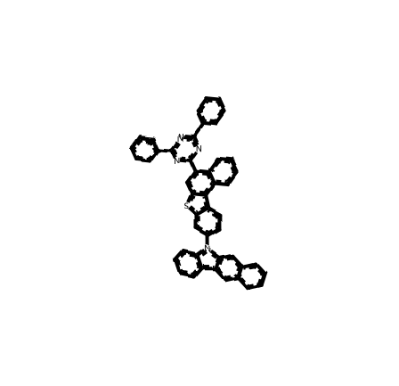 c1ccc(-c2nc(-c3ccccc3)nc(-c3cc4sc5cc(-n6c7ccccc7c7cc8ccccc8cc76)ccc5c4c4ccccc34)n2)cc1